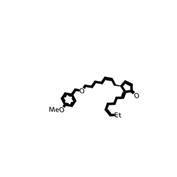 CC/C=C\CCC/C=C1/C(=O)C=C[C@@H]1C/C=C\CCCCOCc1ccc(OC)cc1